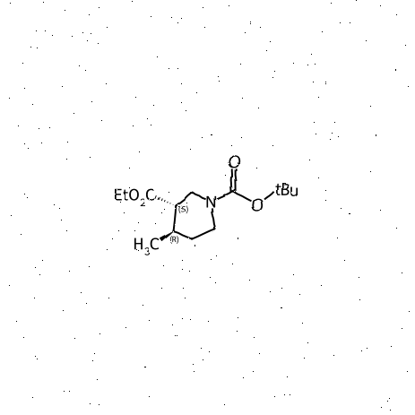 CCOC(=O)[C@@H]1CN(C(=O)OC(C)(C)C)CC[C@H]1C